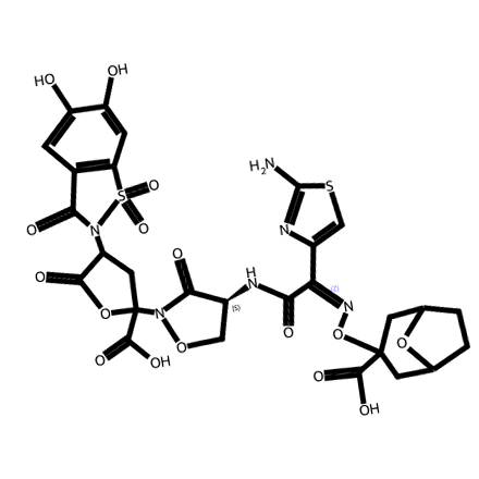 Nc1nc(/C(=N/OC2(C(=O)O)CC3CCC(C2)O3)C(=O)N[C@H]2CON(C3(C(=O)O)CC(N4C(=O)c5cc(O)c(O)cc5S4(=O)=O)C(=O)O3)C2=O)cs1